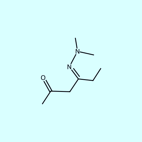 CCC(CC(C)=O)=NN(C)C